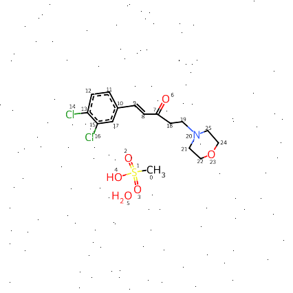 CS(=O)(=O)O.O.O=C(/C=C/c1ccc(Cl)c(Cl)c1)CCN1CCOCC1